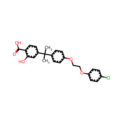 CC(C)(c1ccc(OCCOc2ccc(Cl)cc2)cc1)c1ccc(C(=O)O)c(O)c1